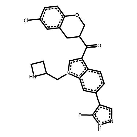 O=C(c1cn(CC2CCN2)c2cc(-c3cn[nH]c3F)ccc12)C1COc2ccc(Cl)cc2C1